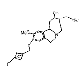 COc1cc2c(cc1OCC13CC(F)(C1)C3)CCN1C[C@@H](CC(C)(C)C)[C@H](O)CC21